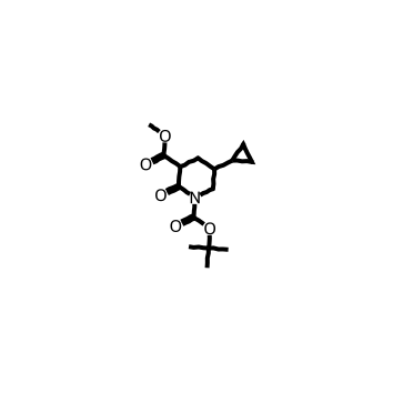 COC(=O)C1CC(C2CC2)CN(C(=O)OC(C)(C)C)C1=O